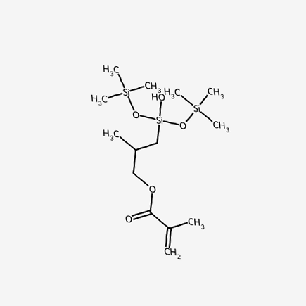 C=C(C)C(=O)OCC(C)C[Si](O)(O[Si](C)(C)C)O[Si](C)(C)C